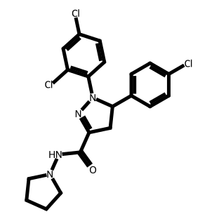 O=C(NN1CCCC1)C1=NN(c2ccc(Cl)cc2Cl)C(c2ccc(Cl)cc2)C1